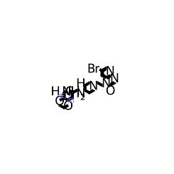 C=C(/C=C1/OCCO/C1=C/N)CNC1CCN(CCn2c(=O)cnc3ncc(Br)cc32)CC1